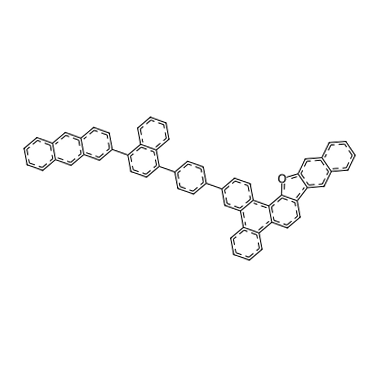 c1ccc2cc3cc(-c4ccc(-c5ccc(-c6ccc7c(c6)c6ccccc6c6ccc8c9cc%10ccccc%10cc9oc8c67)cc5)c5ccccc45)ccc3cc2c1